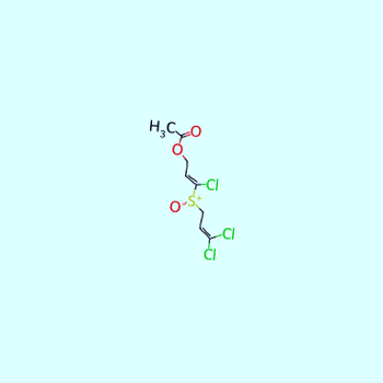 CC(=O)OCC=C(Cl)[S+]([O-])CC=C(Cl)Cl